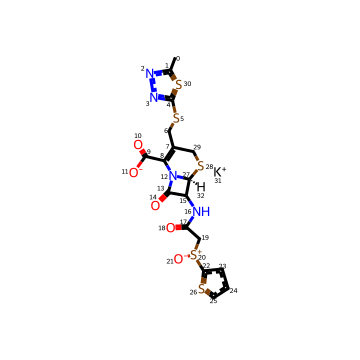 Cc1nnc(SCC2=C(C(=O)[O-])N3C(=O)C(NC(=O)C[S+]([O-])c4cccs4)[C@@H]3SC2)s1.[K+]